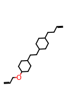 C=CCCC1CCC(CCC2CCC(OCC=C)CC2)CC1